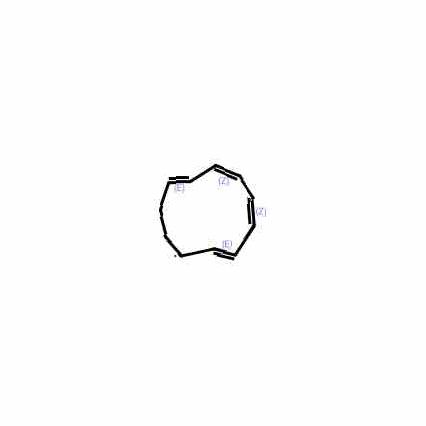 [CH]1/C=C/C=C\C=C/C=C/CC1